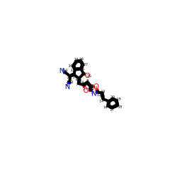 N#CC(C#N)=C1/C(=C/c2cc3oc(/C=C/c4ccccc4)nc3o2)C(=O)c2ccccc21